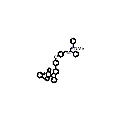 CN/C(=C\C(=N/Cc1ccc(Oc2ccc(-c3ccc4c(c3)C3(c5ccccc5-4)c4ccccc4-n4c5ccccc5c5cccc3c54)cc2)cc1)c1ccccc1)c1ccccc1